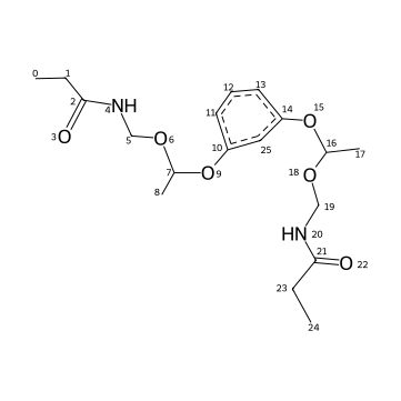 CCC(=O)NCOC(C)Oc1cccc(OC(C)OCNC(=O)CC)c1